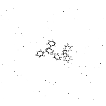 c1ccc(-c2nc(-c3ccccc3)nc(-c3cccc(-c4c5ccccc5n5c4oc4ccccc45)c3)n2)cc1